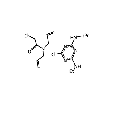 C=CCN(CC=C)C(=O)CCl.CCNc1nc(Cl)nc(NC(C)C)n1